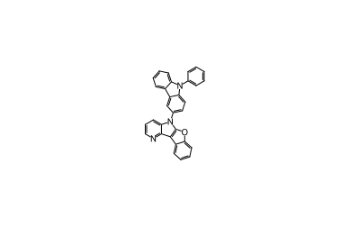 c1ccc(-n2c3ccccc3c3cc(-n4c5cccnc5c5c6ccccc6oc54)ccc32)cc1